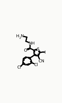 N#Cc1c(I)sc(C(=O)NCCN)c1-c1ccc(Cl)cc1Cl